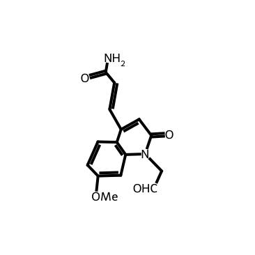 COc1ccc2c(C=CC(N)=O)cc(=O)n(CC=O)c2c1